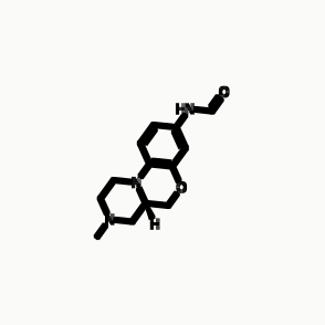 CN1CCN2c3ccc(NC=O)cc3OC[C@@H]2C1